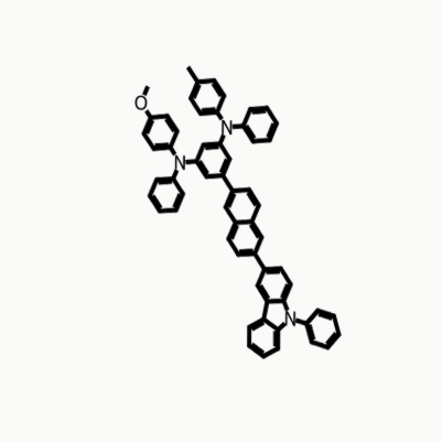 COc1ccc(N(c2ccccc2)c2cc(-c3ccc4cc(-c5ccc6c(c5)c5ccccc5n6-c5ccccc5)ccc4c3)cc(N(c3ccccc3)c3ccc(C)cc3)c2)cc1